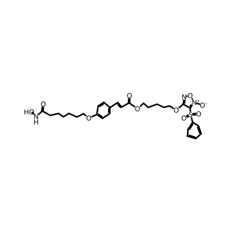 O=C(CCCCCCOc1ccc(C=CC(=O)OCCCCCOc2no[n+]([O-])c2S(=O)(=O)c2ccccc2)cc1)NO